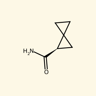 NC(=O)[C@@H]1CC12CC2